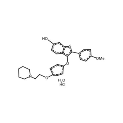 COc1ccc(-c2sc3cc(O)ccc3c2Oc2ccc(OCCN3CCCCC3)cc2)cc1.Cl.O